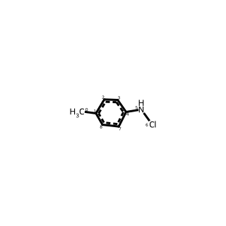 Cc1ccc(NCl)cc1